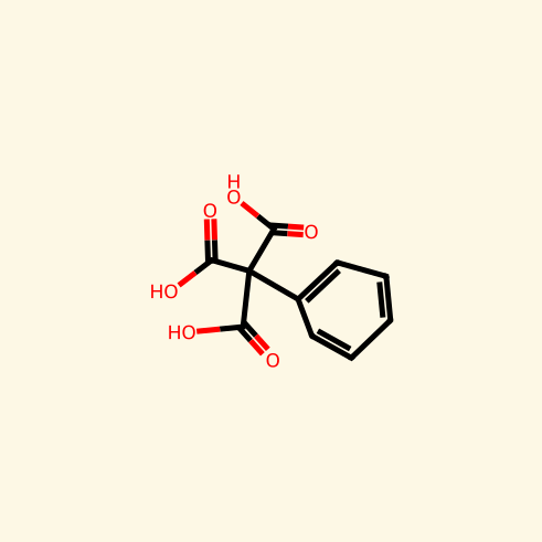 O=C(O)C(C(=O)O)(C(=O)O)c1ccccc1